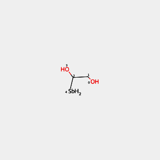 OC[CH](O)[SbH2]